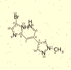 Cn1cc(/C(C=N)=C/c2ncc(Br)[nH]2)cn1